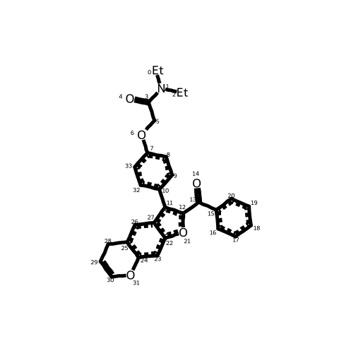 CCN(CC)C(=O)COc1ccc(-c2c(C(=O)c3ccccc3)oc3cc4c(cc23)CC=CO4)cc1